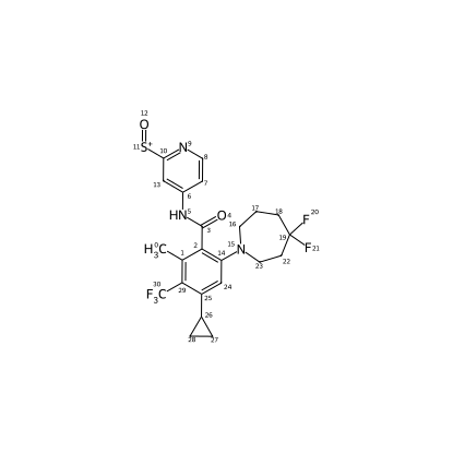 Cc1c(C(=O)Nc2ccnc([S+]=O)c2)c(N2CCCC(F)(F)CC2)cc(C2CC2)c1C(F)(F)F